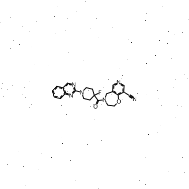 N#Cc1cncc2c1OCCN(C(=O)C1(F)CCN(c3ncc4ccccc4n3)CC1)C2